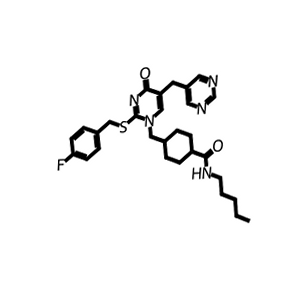 CCCCCNC(=O)C1CCC(Cn2cc(Cc3cncnc3)c(=O)nc2SCc2ccc(F)cc2)CC1